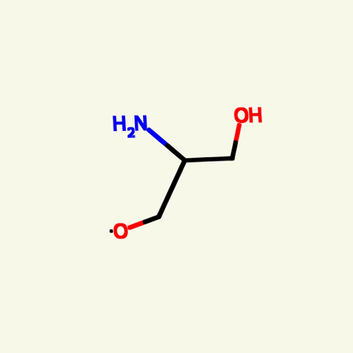 NC(C[O])CO